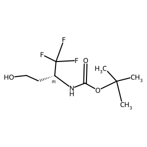 CC(C)(C)OC(=O)N[C@H](CCO)C(F)(F)F